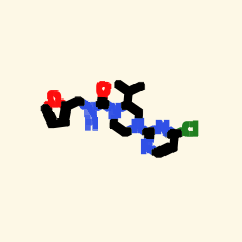 CC(C)C1CN(c2nccc(Cl)n2)CCN1C(=O)NCc1ccco1